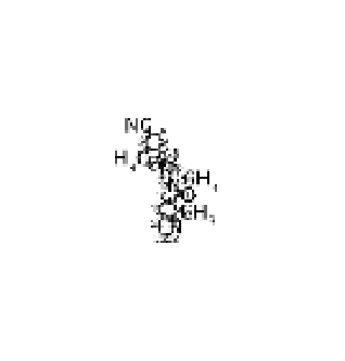 Cc1cc(C#N)ccc1S(=O)(=O)N1CCN(C(=O)c2ccc3cccnc3c2C)[C@@H](C)C1